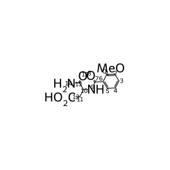 COc1ccccc1C(=O)NC(CC(=O)O)C(N)=O